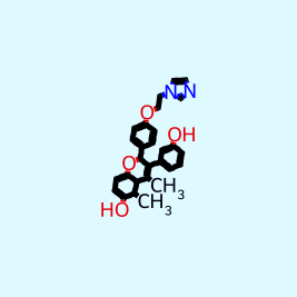 CC1=C(c2cccc(O)c2)C(c2ccc(OCCn3ccnc3)cc2)OC2=CC=C(O)C(C)C21